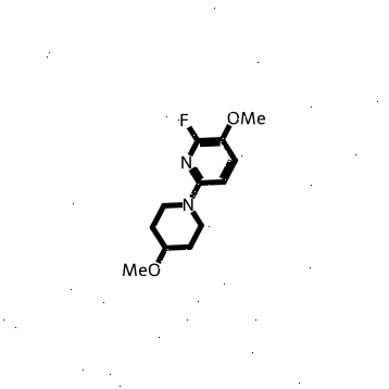 COc1ccc(N2CCC(OC)CC2)nc1F